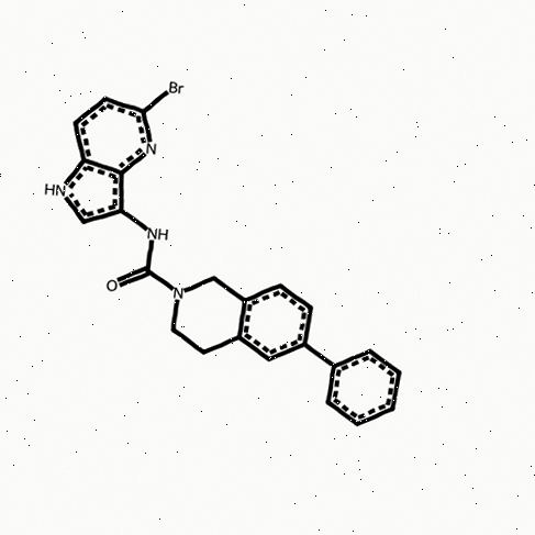 O=C(Nc1c[nH]c2ccc(Br)nc12)N1CCc2cc(-c3ccccc3)ccc2C1